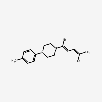 CC/C(C)=C\C=C(/CC)N1CCN(c2ccc(C)cc2)CC1